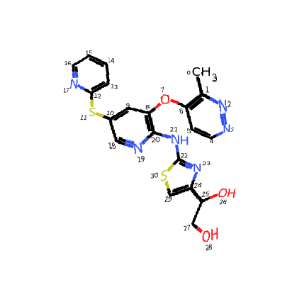 Cc1nnccc1Oc1cc(Sc2ccccn2)cnc1Nc1nc(C(O)CO)cs1